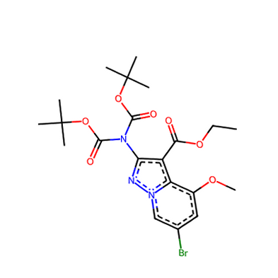 CCOC(=O)c1c(N(C(=O)OC(C)(C)C)C(=O)OC(C)(C)C)nn2cc(Br)cc(OC)c12